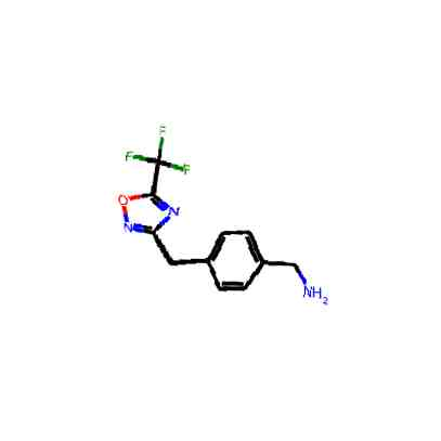 NCc1ccc(Cc2noc(C(F)(F)F)n2)cc1